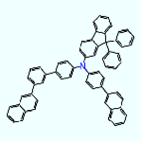 c1ccc(C2(c3ccccc3)c3ccccc3-c3ccc(N(c4ccc(-c5cccc(-c6ccc7ccccc7c6)c5)cc4)c4ccc(-c5ccc6ccccc6c5)cc4)cc32)cc1